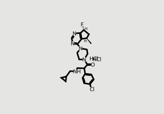 C[C@@H]1C[C@@H](F)c2ncnc(N3CCN(C(=O)C(CNCC4CC4)c4ccc(Cl)cc4)CC3)c21.Cl.Cl